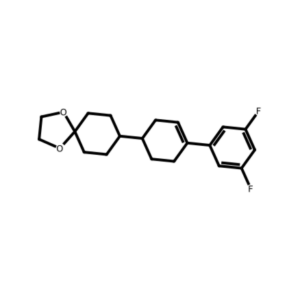 Fc1cc(F)cc(C2=CCC(C3CCC4(CC3)OCCO4)CC2)c1